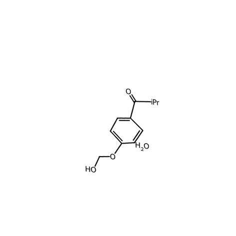 CC(C)C(=O)c1ccc(OCO)cc1.O